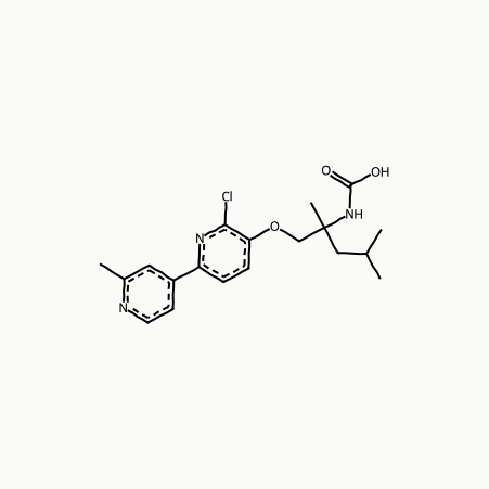 Cc1cc(-c2ccc(OCC(C)(CC(C)C)NC(=O)O)c(Cl)n2)ccn1